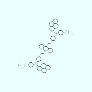 Cc1ccc(N(c2ccc(C=Cc3c4ccccc4c(C=Cc4ccc(N(c5ccc(C)cc5)c5ccc6ccc7cccc8ccc5c6c78)cc4)c4ccccc34)cc2)c2ccc3ccc4cccc5ccc2c3c45)cc1